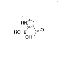 CC(=O)c1cc[nH]c1B(O)O